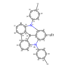 CCc1cc2c3c(c1)N(c1ccc(C)cc1)c1cccc4c1B3c1c-4cccc1N2c1ccc(C)cc1